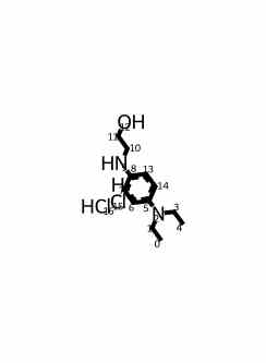 CCN(CC)c1ccc(NCCO)cc1.Cl.Cl